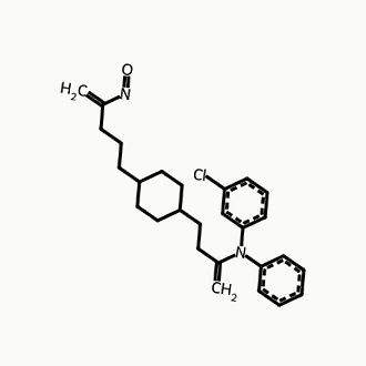 C=C(CCCC1CCC(CCC(=C)N(c2ccccc2)c2cccc(Cl)c2)CC1)N=O